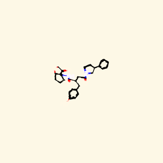 O=C(NC12CCCC1OCC2=O)C(CC(=O)N1CCC(c2ccccc2)C1)Cc1ccc(O)cc1